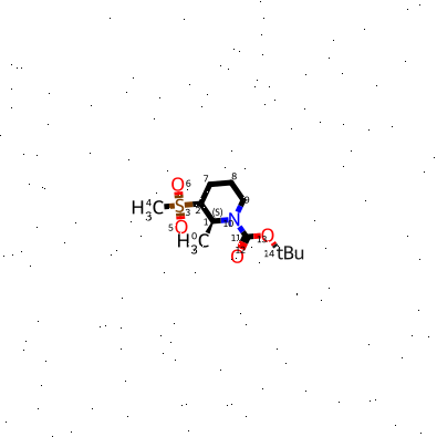 C[C@H]1C(S(C)(=O)=O)CCCN1C(=O)OC(C)(C)C